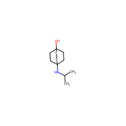 CC(C)NC12CCC(O)(CC1)CC2